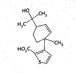 CC1(c2ccsc2C(=O)O)C=CC(C(C)(C)O)CC1